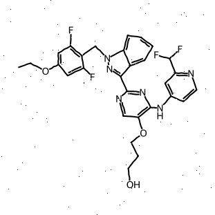 CCOc1cc(F)c(Cn2nc(-c3ncc(OCCCO)c(Nc4ccnc(C(F)F)c4)n3)c3ccccc32)c(F)c1